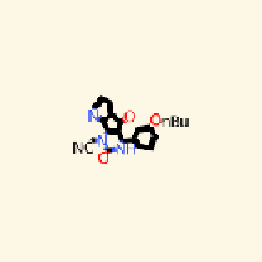 CCCCOc1cccc(C2NC(=O)N(CC#N)C3=C2C(=O)c2cccnc23)c1